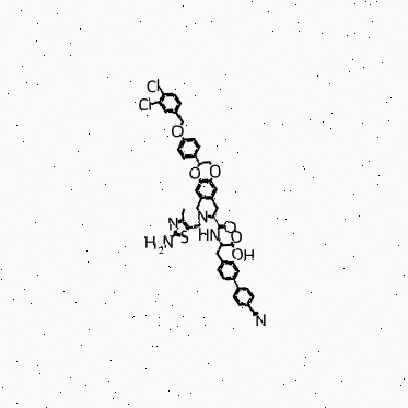 Cc1nc(N)sc1CN1Cc2cc3c(cc2C[C@H]1C(=O)NC(Cc1ccc(-c2ccc(C#N)cc2)cc1)C(=O)O)OC[C@H](c1ccc(OCc2ccc(Cl)c(Cl)c2)cc1)O3